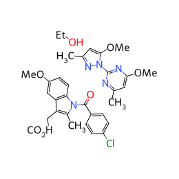 CCO.COc1cc(C)nc(-n2nc(C)cc2OC)n1.COc1ccc2c(c1)c(CC(=O)O)c(C)n2C(=O)c1ccc(Cl)cc1